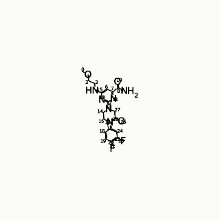 COCCNc1cc(C(N)=O)nc(N2CCN(c3ccc(F)c(F)c3)C(=O)C2)n1